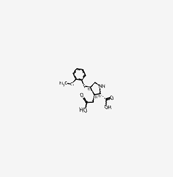 COc1ccccc1S[C@H]1CN[C@H](C(=O)O)[C@H]1CC(=O)O